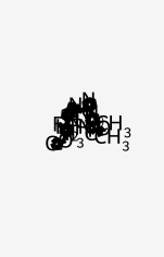 CC(=O)N(C)[C@@H]1[C@H](N)CN(c2ccncc2Nc2ncc3ccc(-c4c(F)cc(OC5CCOC5)cc4F)nn23)C[C@@H]1C